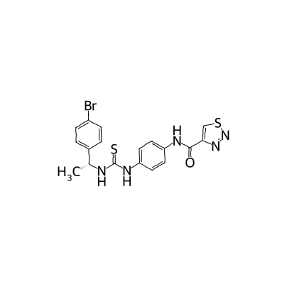 C[C@@H](NC(=S)Nc1ccc(NC(=O)c2csnn2)cc1)c1ccc(Br)cc1